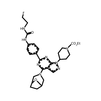 CCOC(=O)N1CCC(n2ncc3c(N4CC5CCC(C4)O5)nc(-c4ccc(NC(=O)NCCF)cc4)nc32)CC1